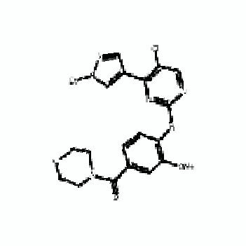 CCn1cc(-c2nc(Nc3ccc(C(=O)N4CCOCC4)cc3OC)ncc2Cl)cn1